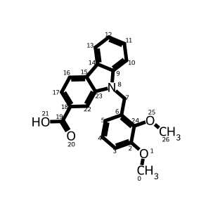 COc1cccc(Cn2c3ccccc3c3ccc(C(=O)O)cc32)c1OC